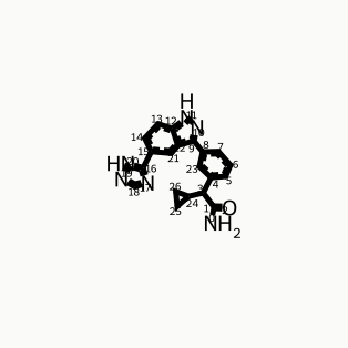 NC(=O)C(c1cccc(-c2n[nH]c3ccc(-c4ncn[nH]4)cc23)c1)C1CC1